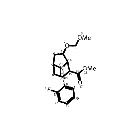 COCOC1CC2C[C@@H](c3ccccc3F)C(C(=O)OC)C1N2